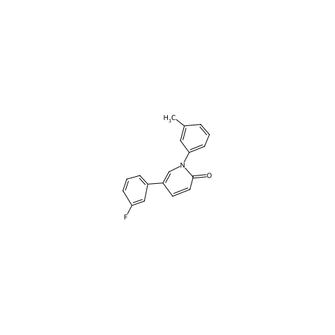 Cc1cccc(-n2cc(-c3cccc(F)c3)ccc2=O)c1